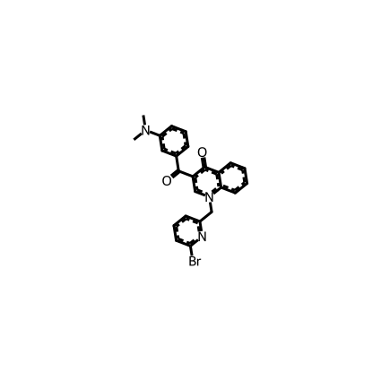 CN(C)c1cccc(C(=O)c2cn(Cc3cccc(Br)n3)c3ccccc3c2=O)c1